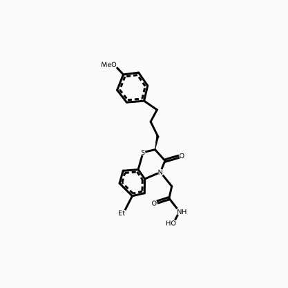 CCc1ccc2c(c1)N(CC(=O)NO)C(=O)[C@H](CCCc1ccc(OC)cc1)S2